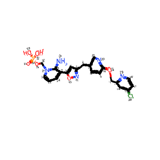 NC1C(c2cc(Cc3ccc(OCc4cc(Cl)ccn4)nc3)no2)=CC=CN1COP(=O)(O)O